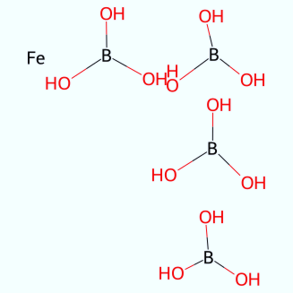 OB(O)O.OB(O)O.OB(O)O.OB(O)O.[Fe]